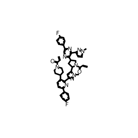 C=CC(=O)N1CCC(c2ccc(-c3ccc(F)cc3)nc2-c2cc(C3CC(c4ncc(-c5ccc(F)cc5)nc4-c4ccn(C)n4)CN3C(=O)C=C)n(C)n2)CC1